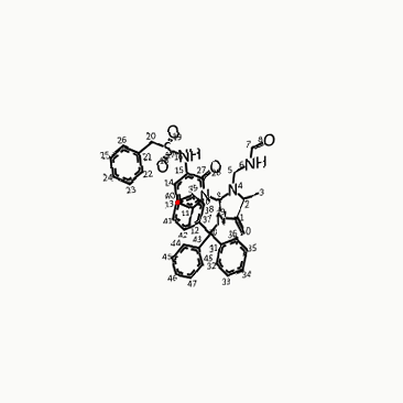 C=C1C(C)N(CNC=O)C(n2c(C)ccc(NS(=O)(=O)Cc3ccccc3)c2=O)N1C(c1ccccc1)(c1ccccc1)c1ccccc1